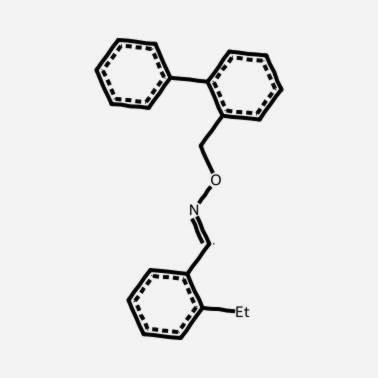 CCc1ccccc1/[C]=N/OCc1ccccc1-c1ccccc1